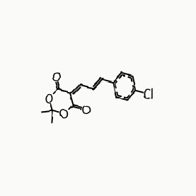 CC1(C)OC(=O)C(=CC=Cc2ccc(Cl)cc2)C(=O)O1